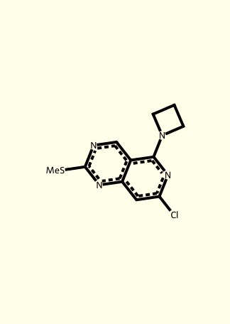 CSc1ncc2c(N3CCC3)nc(Cl)cc2n1